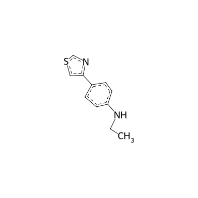 CCNc1ccc(-c2cscn2)cc1